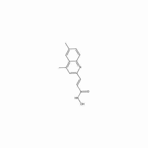 Cc1ccc2nc(C=CC(=O)NO)cc(C)c2c1